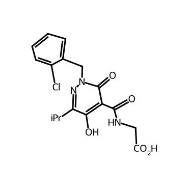 CC(C)c1nn(Cc2ccccc2Cl)c(=O)c(C(=O)NCC(=O)O)c1O